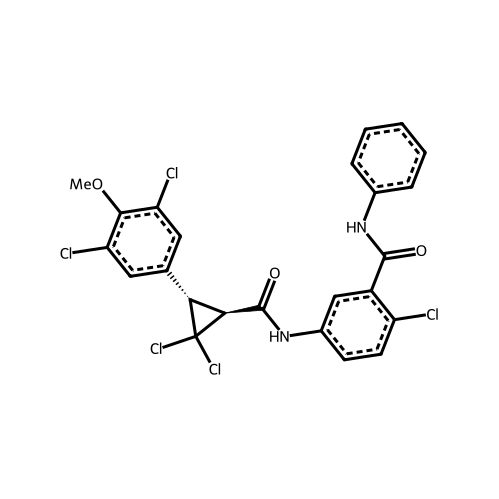 COc1c(Cl)cc([C@@H]2[C@@H](C(=O)Nc3ccc(Cl)c(C(=O)Nc4ccccc4)c3)C2(Cl)Cl)cc1Cl